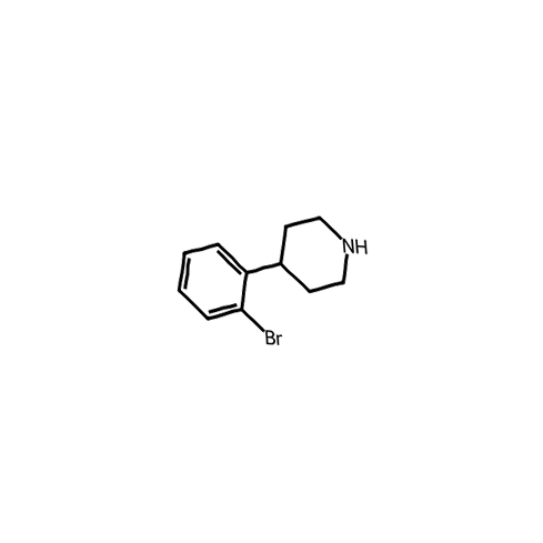 Brc1ccccc1C1CCNCC1